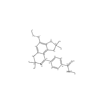 CCOc1cc2c(c3c1OC(C)(C)C3)C(c1ccc(C(=O)NC)cc1)=NC(C)(C)C2